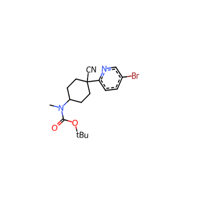 CN(C(=O)OC(C)(C)C)C1CCC(C#N)(c2ccc(Br)cn2)CC1